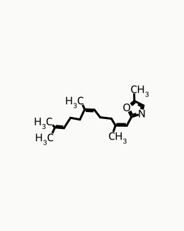 CC(C)=CCCC(C)=CCCC(C)=Cc1ncc(C)o1